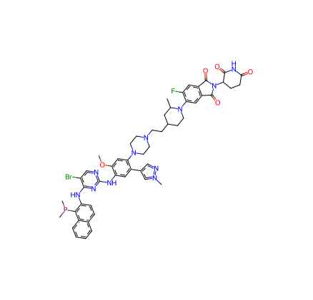 COc1cc(N2CCN(CCC3CCN(c4cc5c(cc4F)C(=O)N(C4CCC(=O)NC4=O)C5=O)C(C)C3)CC2)c(-c2cnn(C)c2)cc1Nc1ncc(Br)c(Nc2ccc3ccccc3c2P(C)C)n1